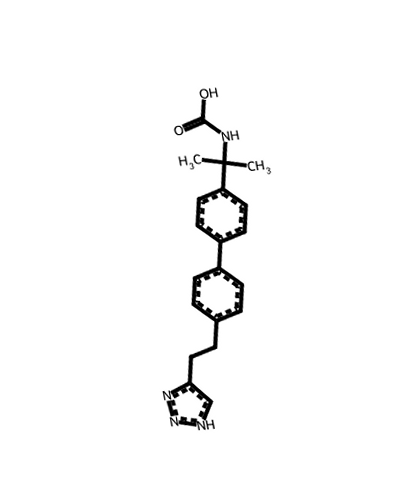 CC(C)(NC(=O)O)c1ccc(-c2ccc(CCc3c[nH]nn3)cc2)cc1